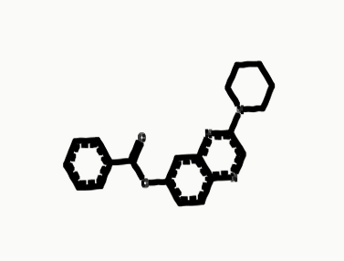 O=C(Oc1ccc2ncc(N3CCCCC3)nc2c1)c1ccccc1